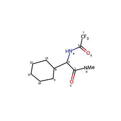 CNC(=O)C(NC(=O)C(F)(F)F)C1CCCCC1